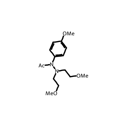 COCCN(CCOC)N(C(C)=O)c1ccc(OC)cc1